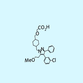 COCCc1c(-c2cccc(Cl)c2)c(-c2ccccc2)nn1CC1CCC(COCC(=O)O)CC1